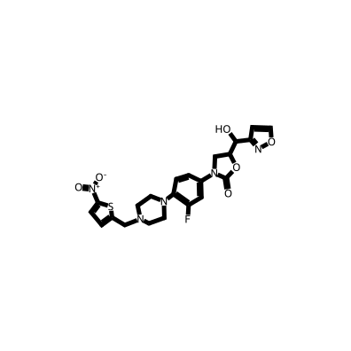 O=C1OC(C(O)c2ccon2)CN1c1ccc(N2CCN(Cc3ccc([N+](=O)[O-])s3)CC2)c(F)c1